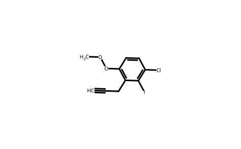 C#CCc1c(OOC)ccc(Cl)c1I